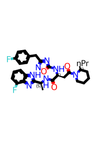 CCC[C@H]1CCCCN1C(=O)C[C@H](Nc1nc(Cc2ccc(F)cc2)no1)C(=O)N[C@@H](C)c1nc2c(F)cccc2[nH]1